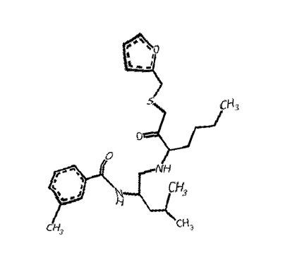 CCCCC(NCC(CC(C)C)NC(=O)c1cccc(C)c1)C(=O)CSCc1ccco1